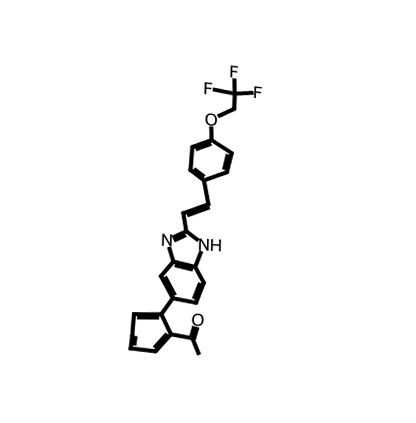 CC(=O)c1ccccc1-c1ccc2[nH]c(C=Cc3ccc(OCC(F)(F)F)cc3)nc2c1